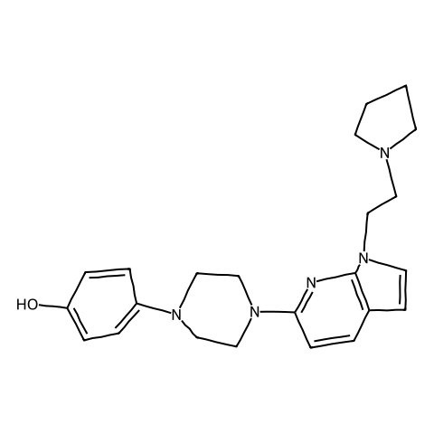 Oc1ccc(N2CCN(c3ccc4ccn(CCN5CCCC5)c4n3)CC2)cc1